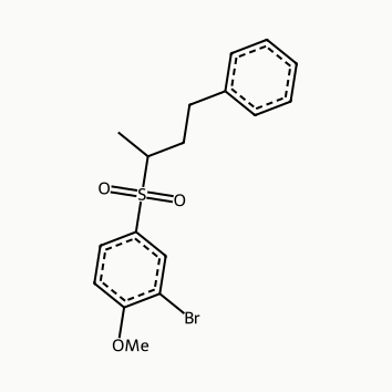 COc1ccc(S(=O)(=O)C(C)CCc2ccccc2)cc1Br